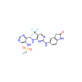 CCS(=O)(=O)Nc1cncnc1CNc1nc(Nc2ccc3c(c2)CC(=O)N3)ncc1C(F)(F)F